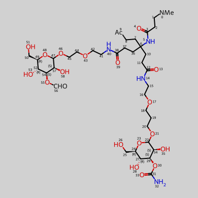 CNCCC(=O)NC(CCC(C)=O)(CCC(=O)NCCOCCCOC1O[C@H](CO)[C@@H](O)[C@H](OC(N)=O)[C@@H]1O)CCC(=O)NCCOCCOC1O[C@H](CO)[C@@H](O)[C@H](OC=O)[C@@H]1O